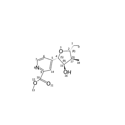 CC[C@H]1O[C@@H](c2ccnc(C(=O)OC)c2)[C@H](O)[C@@H]1C